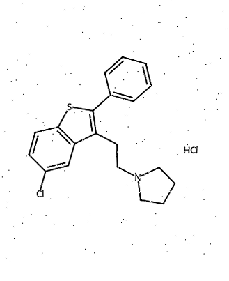 Cl.Clc1ccc2sc(-c3ccccc3)c(CCN3CCCC3)c2c1